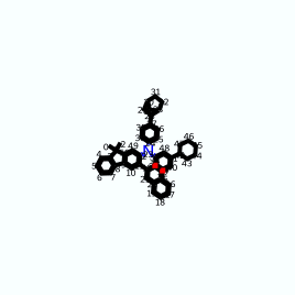 CC1(C)c2ccccc2-c2cc(-c3ccc4ccccc4c3)c(N(c3ccc(C4CC5CCC4C5)cc3)c3cccc(C4CCCCC4)c3)cc21